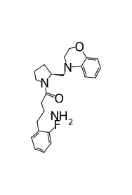 N[C@@H](CC(=O)N1CCC[C@H]1CN1CCOc2ccccc21)Cc1ccccc1F